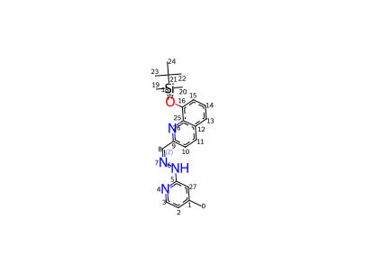 Cc1ccnc(N/N=C\c2ccc3cccc(O[Si](C)(C)C(C)(C)C)c3n2)c1